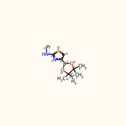 CC(C)Nc1nc(B2OC(C)(C)C(C)(C)O2)cs1